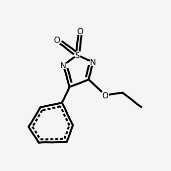 CCOC1=NS(=O)(=O)N=C1c1ccccc1